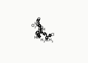 CC1(C)CCC(CN2CCN(c3cc(N4CCCOc5nc6[nH]ccc6cc54)c(C(=O)NS(=O)(=O)c4ccc(NC[C@H]5COCCO5)c([N+](=O)[O-])c4)s3)CC2)=C(c2ccc(Cl)cc2)C1